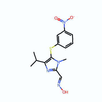 CC(C)c1nc(C=NO)n(C)c1Sc1cccc([N+](=O)[O-])c1